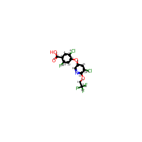 O=C(O)c1cc(Cl)c(Oc2cnc(OCC(F)(F)F)c(Cl)c2)cc1F